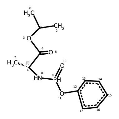 CC(C)OC(=O)[C@@H](C)N[PH](=O)Oc1ccccc1